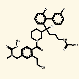 CCc1cccc(-c2c(Cl)cccc2C(O)(CCCNC(=O)OC)C2CCCN(C(=O)c3ccc(CN(C)C(=O)OC(C)(C)C)cc3CCC#N)C2)c1